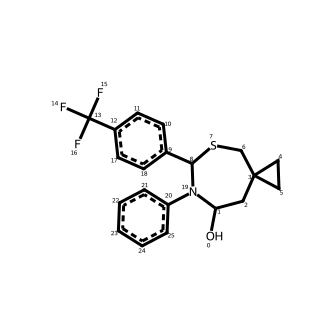 OC1CC2(CC2)CSC(c2ccc(C(F)(F)F)cc2)N1c1ccccc1